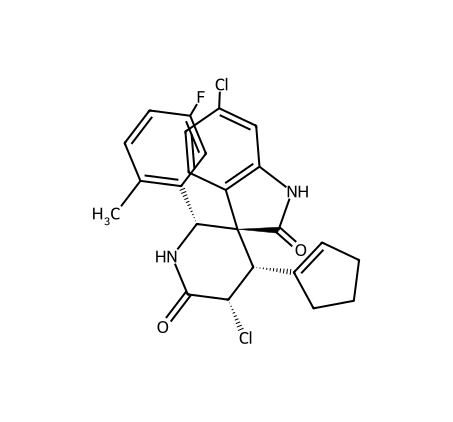 Cc1ccc(F)cc1[C@H]1NC(=O)[C@@H](Cl)[C@@H](C2=CCCC2)[C@]12C(=O)Nc1cc(Cl)ccc12